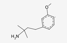 COc1[c]ccc(CCC(C)(C)N)c1